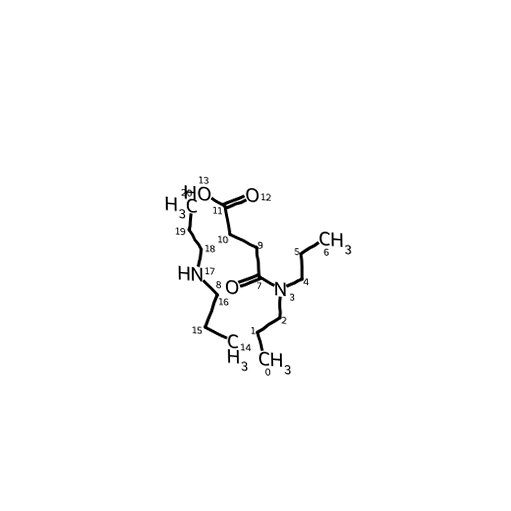 CCCN(CCC)C(=O)CCC(=O)O.CCCNCCC